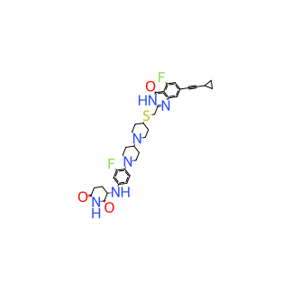 O=C1CCC(Nc2ccc(N3CCC(N4CCC(SCc5nc6cc(C#CC7CC7)cc(F)c6c(=O)[nH]5)CC4)CC3)c(F)c2)C(=O)N1